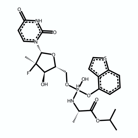 CC(C)OC(=O)[C@H](C)N[PH](O)(OC[C@H]1O[C@@H](n2ccc(=O)[nH]c2=O)[C@](C)(F)[C@@H]1O)Oc1cccc2sccc12